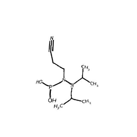 CC(C)N(C(C)C)N(CCC#N)P(O)O